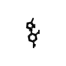 Cc1ccn(-c2ccc(F)cc2I)n1